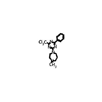 CN1CCCN(c2nc(-c3ccccc3)nc(C(Cl)(Cl)Cl)n2)CC1